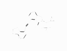 CC(C)(O)[C@@H](C1CC1)N1Cc2cccc(C#Cc3ccnc4c3CCC4)c2C1=O